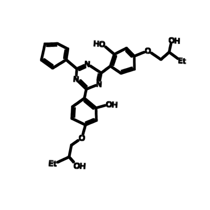 CCC(O)COc1ccc(-c2nc(-c3ccccc3)nc(-c3ccc(OCC(O)CC)cc3O)n2)c(O)c1